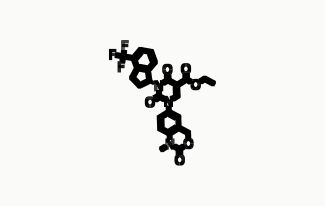 CCOC(=O)c1cn(-c2ccc3c(c2)COC(=O)N3C)c(=O)n([C@@H]2CCc3c2cccc3C(F)(F)F)c1=O